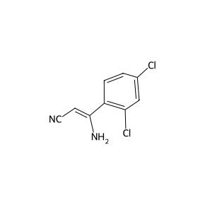 N#C/C=C(\N)c1ccc(Cl)cc1Cl